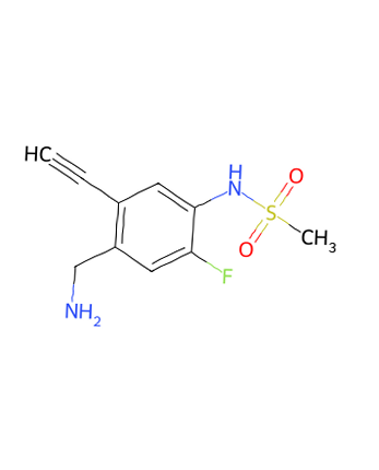 C#Cc1cc(NS(C)(=O)=O)c(F)cc1CN